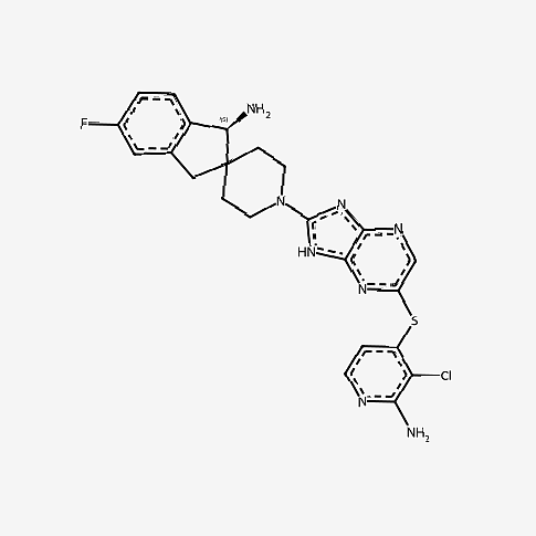 Nc1nccc(Sc2cnc3nc(N4CCC5(CC4)Cc4cc(F)ccc4[C@H]5N)[nH]c3n2)c1Cl